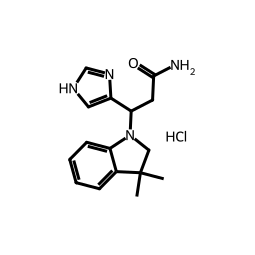 CC1(C)CN(C(CC(N)=O)c2c[nH]cn2)c2ccccc21.Cl